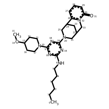 CCCCCCNc1nc(N2CCC(OC)CC2)nc(N2CC3CC(C2)c2cccc(=O)n2C3)n1